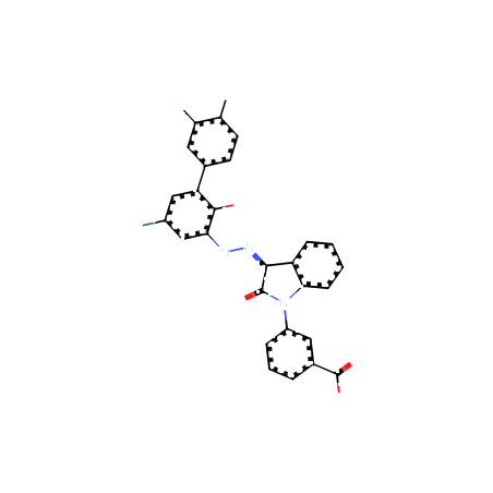 Cc1ccc(-c2cc(Cl)cc(NN=C3C(=O)N(c4cccc(C(=O)O)c4)c4ccccc43)c2O)cc1C